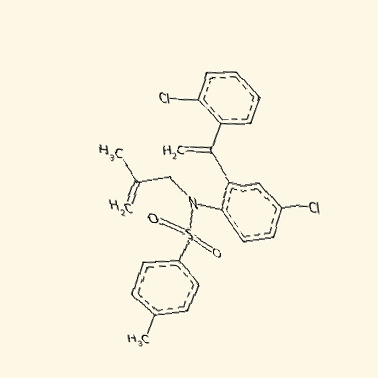 C=C(C)CN(c1ccc(Cl)cc1C(=C)c1ccccc1Cl)S(=O)(=O)c1ccc(C)cc1